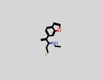 C=C(c1ccc2ccoc2c1)C(CCF)NCC